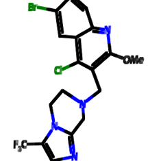 COc1nc2ccc(Br)cc2c(Cl)c1CN1CCn2c(C(F)(F)F)cnc2C1